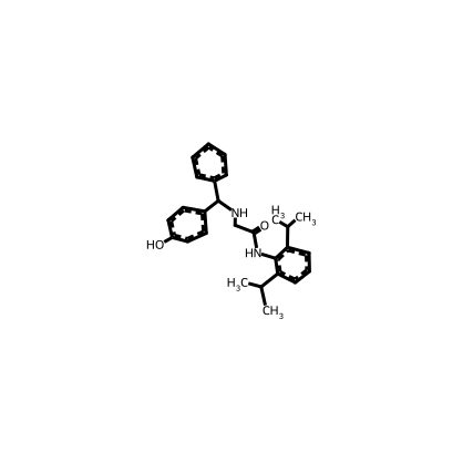 CC(C)c1cccc(C(C)C)c1NC(=O)CNC(c1ccccc1)c1ccc(O)cc1